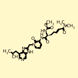 COC(=O)N[C@@H](CC/C=C/C(=O)N(C)C)C(=O)Nc1cccn(Cc2nc3c(CC(C)C)cncc3[nH]2)c1=O